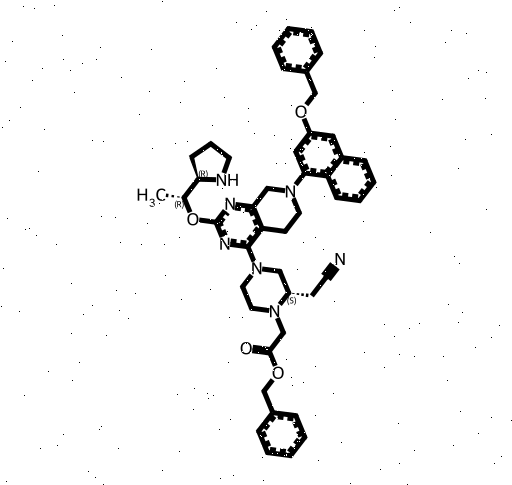 C[C@@H](Oc1nc2c(c(N3CCN(CC(=O)OCc4ccccc4)[C@@H](CC#N)C3)n1)CCN(c1cc(OCc3ccccc3)cc3ccccc13)C2)[C@H]1CCCN1